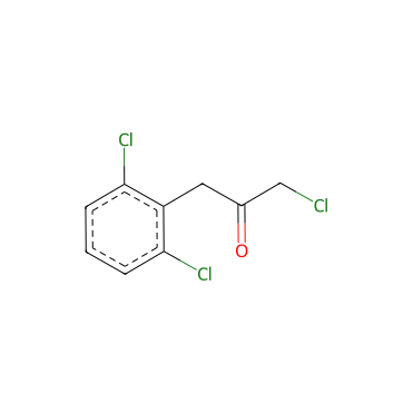 O=C(CCl)Cc1c(Cl)cccc1Cl